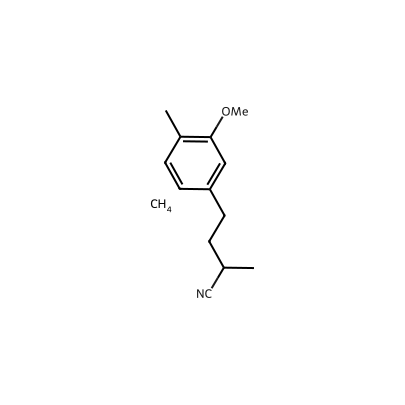 C.COc1cc(CCC(C)C#N)ccc1C